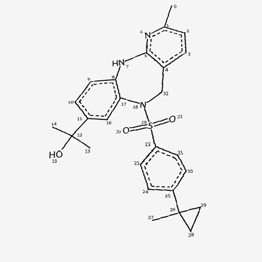 Cc1ccc2c(n1)Nc1ccc(C(C)(C)O)cc1N(S(=O)(=O)c1ccc(C3(C)CC3)cc1)C2